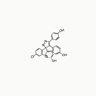 Oc1ccc(C2=C(c3ccc(O)cc3)C(c3ccc(O)cc3)(c3ccc(Cl)cc3Cl)N=N2)cc1